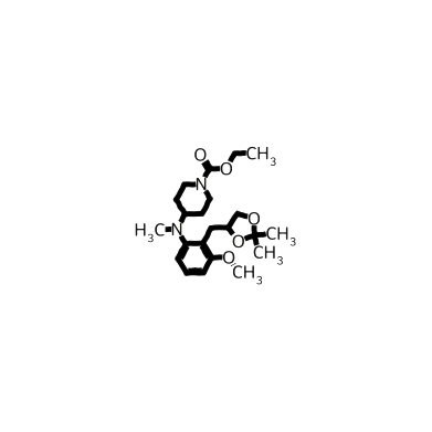 CCOC(=O)N1CCC(N(C)c2cccc(OC)c2CC2COC(C)(C)O2)CC1